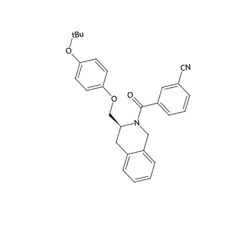 CC(C)(C)Oc1ccc(OC[C@@H]2Cc3ccccc3CN2C(=O)c2cccc(C#N)c2)cc1